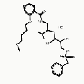 COCCCCOc1ccccc1C(=O)NCC(CC(N)C(O)CNS(=O)(=O)Cc1ccccc1)C(C)C.Cl